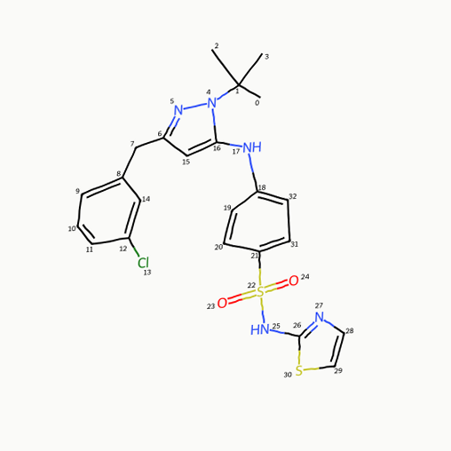 CC(C)(C)n1nc(Cc2cccc(Cl)c2)cc1Nc1ccc(S(=O)(=O)Nc2nccs2)cc1